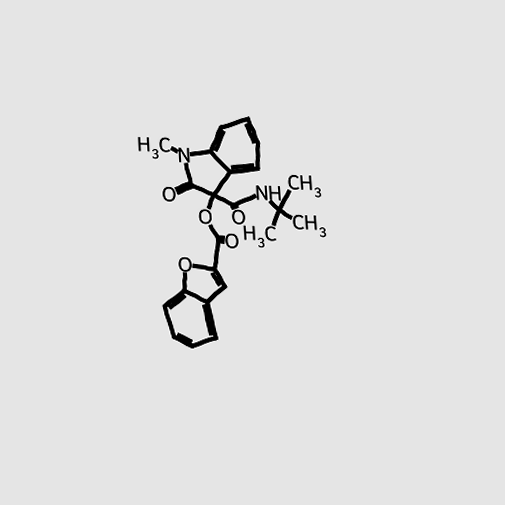 CN1C(=O)C(OC(=O)c2cc3ccccc3o2)(C(=O)NC(C)(C)C)c2ccccc21